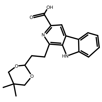 CC1(C)COC(CCc2nc(C(=O)O)cc3c2[nH]c2ccccc23)OC1